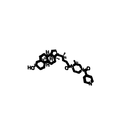 C[C@H](CCC(=O)N1CCN(C(=O)c2ccncc2)C[C@@H]1C)[C@H]1CC[C@H]2[C@@H]3CC=C4C[C@@H](O)CC[C@]4(C)[C@H]3CC[C@]12C